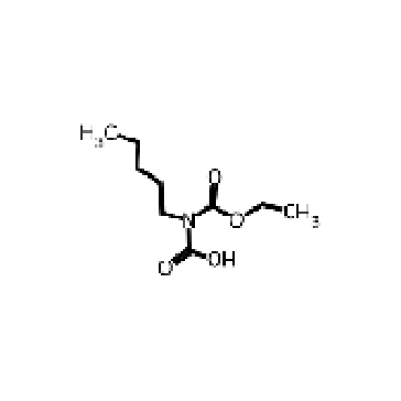 CCCCCN(C(=O)O)C(=O)OCC